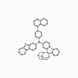 c1ccc2c(c1)-c1ccc(N(c3ccc(-c4cccc5ccccc45)cc3)c3ccc4c(c3)sc3ccccc34)cc1C21C2CC3CC(C2)CC1C3